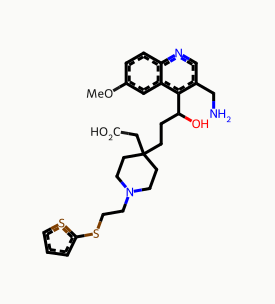 COc1ccc2ncc(CN)c(C(O)CCC3(CC(=O)O)CCN(CCSc4cccs4)CC3)c2c1